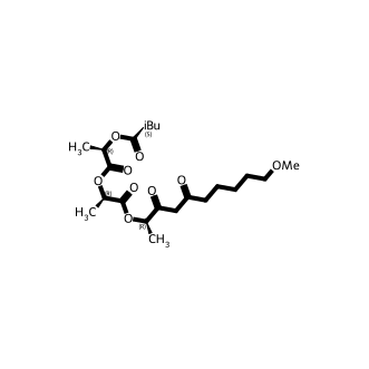 CC[C@H](C)C(=O)O[C@H](C)C(=O)O[C@H](C)C(=O)O[C@H](C)C(=O)CC(=O)CCCCCOC